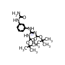 CC(C)(C)OC(=O)/N=C(\NC(=O)OC(C)(C)C)Nc1cccc(NC(N)=O)c1